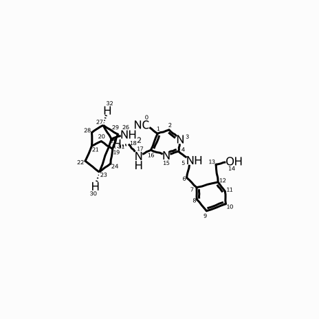 N#Cc1cnc(NCc2ccccc2CO)nc1NC[C@@]12CC3C[C@H](C1)[C@@H](N)[C@@H](C3)C2